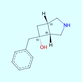 O[C@]1(Cc2ccccc2)C[C@@H]2CNC[C@@H]21